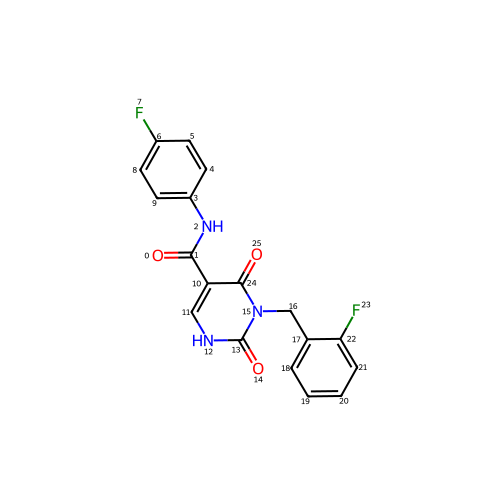 O=C(Nc1ccc(F)cc1)c1c[nH]c(=O)n(Cc2ccccc2F)c1=O